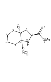 COC(=O)[C@@H]1C[C@@H]2CCCC[C@@H]2N1.Cl